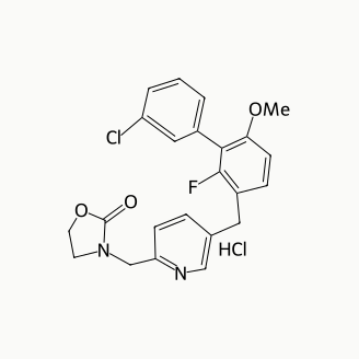 COc1ccc(Cc2ccc(CN3CCOC3=O)nc2)c(F)c1-c1cccc(Cl)c1.Cl